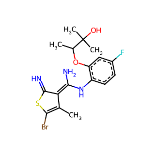 CC1=C(Br)SC(=N)/C1=C(\N)Nc1ccc(F)cc1OC(C)C(C)(C)O